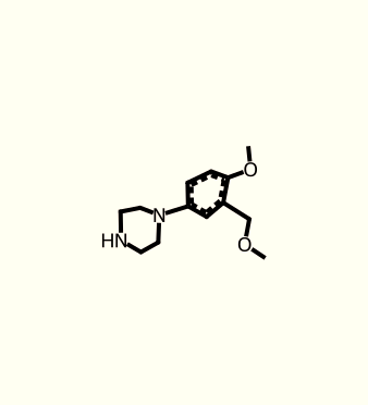 COCc1cc(N2CCNCC2)ccc1OC